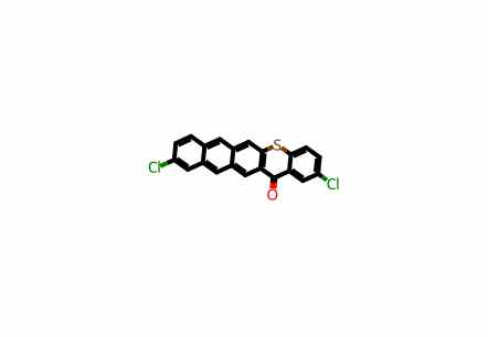 O=c1c2cc(Cl)ccc2sc2cc3cc4ccc(Cl)cc4cc3cc12